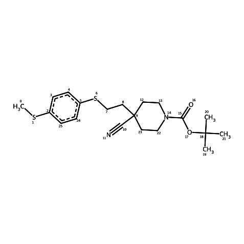 CSc1ccc(SCCC2(C#N)CCN(C(=O)OC(C)(C)C)CC2)cc1